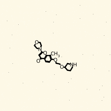 Cc1c(OCCOC2CCCNC2)ccc2c(=O)cc(N3CCOCC3)oc12